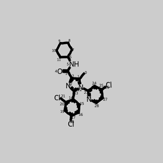 Cc1c(C(=O)NC2CCCCC2)nc(-c2ccc(Cl)cc2Cl)n1-c1cc(Cl)ccn1